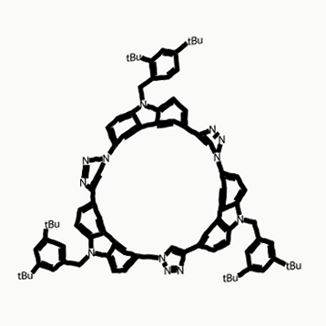 CC(C)(C)c1cc(Cn2c3ccc4cc3c3cc(ccc32)n2cc(nn2)c2ccc3c(c2)c2cc(ccc2n3Cc2cc(C(C)(C)C)cc(C(C)(C)C)c2)n2cc(nn2)c2ccc3c(c2)c2cc(ccc2n3Cc2ccc(C(C)(C)C)cc2C(C)(C)C)n2cc4nn2)cc(C(C)(C)C)c1